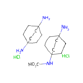 Cl.Cl.NC12CCC(N)(CC1)CC2.NC12CCC(NC(=O)O)(CC1)CC2